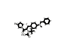 C[C@H](C1CCC(N(C)Cc2ccccc2)CC1)[C@@H](C(=O)N1CC[C@H](F)C1)N(C(=O)O)C(C)(C)C